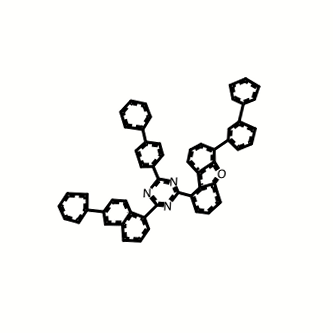 c1ccc(-c2ccc(-c3nc(-c4cccc5cc(-c6ccccc6)ccc45)nc(-c4cccc5oc6c(-c7cccc(-c8ccccc8)c7)cccc6c45)n3)cc2)cc1